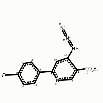 CCOC(=O)c1cnc(-c2ccc(F)cc2)cc1N=[N+]=[N-]